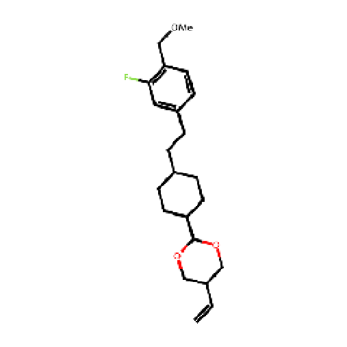 C=CC1COC(C2CCC(CCc3ccc(COC)c(F)c3)CC2)OC1